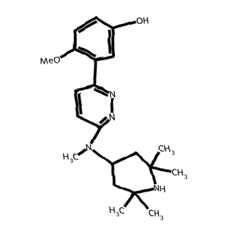 COc1ccc(O)cc1-c1ccc(N(C)C2CC(C)(C)NC(C)(C)C2)nn1